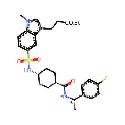 CCOC(=O)CCc1cn(C)c2ccc(S(=O)(=O)N[C@H]3CC[C@H](C(=O)N[C@H](C)c4ccc(F)cc4)CC3)cc12